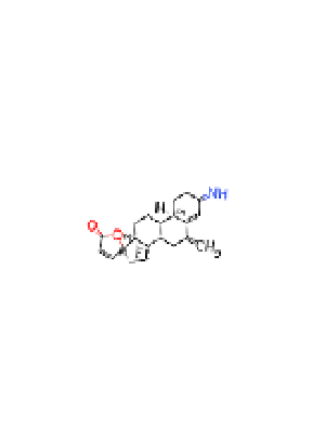 C=C1CC2C(CC[C@@]3(CC)C2CC[C@@]32C=CC(=O)O2)[C@H]2CCC(=N)C=C12